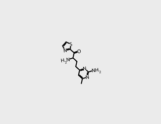 Cc1cc(CCC(N)C(=O)c2nccs2)nc(N)n1